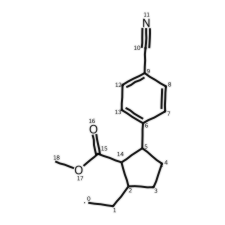 [CH2]CC1C[CH]C(c2ccc(C#N)cc2)C1C(=O)OC